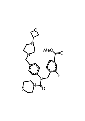 COC(=O)c1ccc(CN(C(=O)N2CCSCC2)c2ccc(CN3CCN(C4COC4)CC3)cc2)c(F)c1